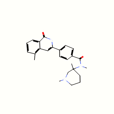 Cc1cccc2c(=O)[nH]c(-c3ccc(C(=O)N(C)C4(C)CCCN(C)C4)cc3)cc12